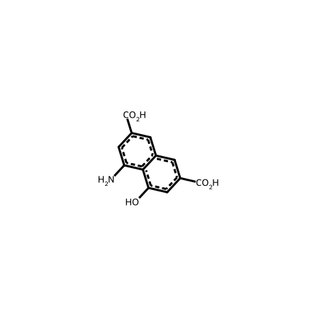 Nc1cc(C(=O)O)cc2cc(C(=O)O)cc(O)c12